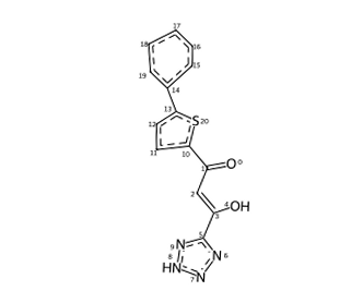 O=C(C=C(O)c1nn[nH]n1)c1ccc(-c2ccccc2)s1